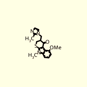 COc1cccc2c1c1c(n2C)SCC(Cn2ccnc2C)C1=O